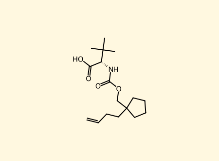 C=CCCC1(COC(=O)N[C@H](C(=O)O)C(C)(C)C)CCCC1